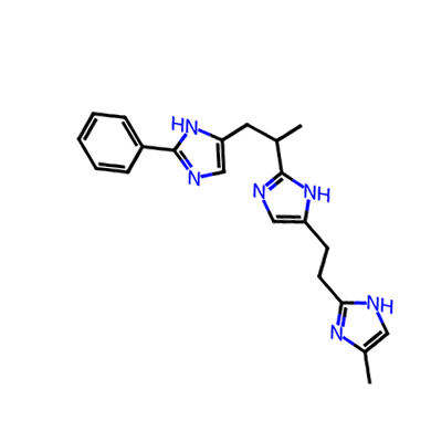 Cc1c[nH]c(CCc2cnc(C(C)Cc3cnc(-c4ccccc4)[nH]3)[nH]2)n1